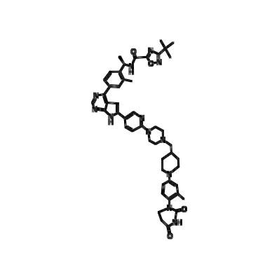 Cc1cc(-c2ncnc3[nH]c(-c4ccc(N5CCN(CC6CCN(c7ccc(N8CCC(=O)NC8=O)c(C)c7)CC6)CC5)nc4)cc23)ccc1[C@@H](C)NC(=O)c1nc(C(C)(C)C)no1